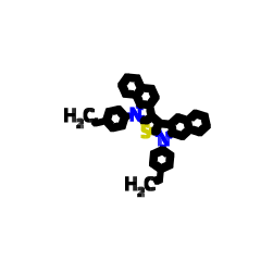 C=Cc1ccc(-n2c3cc4ccccc4cc3c3c4c5ccc6ccccc6c5n(-c5ccc(C=C)cc5)c4sc32)cc1